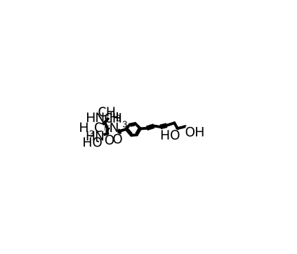 CNC(C)(C)[C@H](NC(=O)c1ccc(C#CC#CCC(O)CO)cc1)C(=O)NO